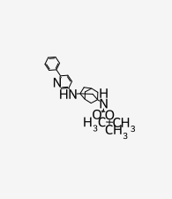 CC(C)(C)OC(=O)NC12CC3CC(C1)C(Nc1ccc(-c4ccccc4)nc1)(C3)C2